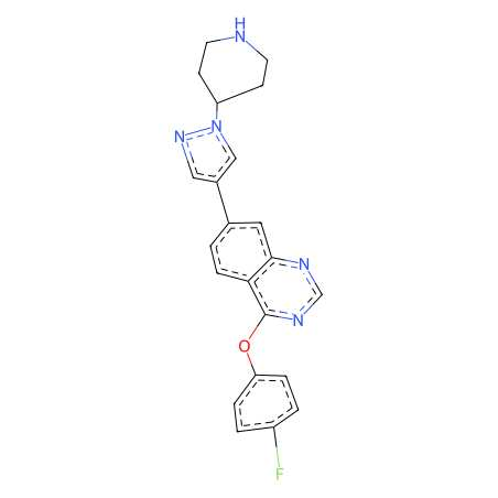 Fc1ccc(Oc2ncnc3cc(-c4cnn(C5CCNCC5)c4)ccc23)cc1